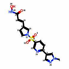 Cn1cc(-c2ccc(S(=O)(=O)n3ccc(/C=C/C(=O)NO)c3)cn2)cn1